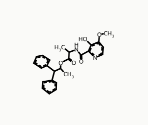 COc1ccnc(C(=O)NC(C)C(=O)OC(C)C(c2ccccc2)c2ccccc2)c1O